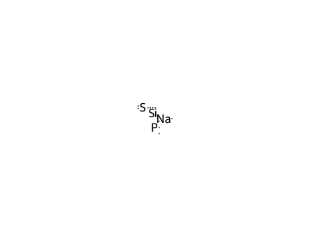 [Na].[P].[S].[Si]